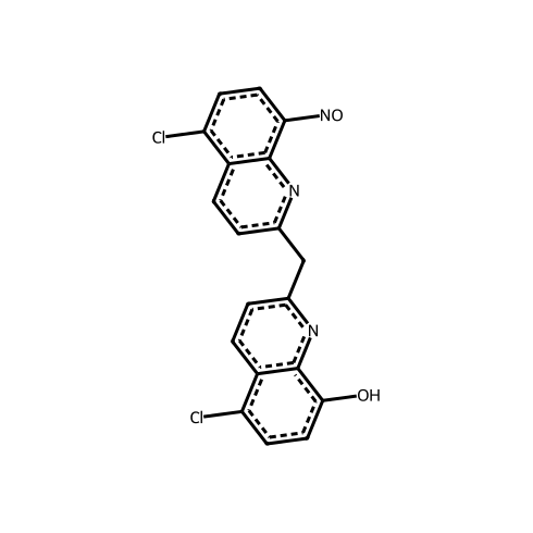 O=Nc1ccc(Cl)c2ccc(Cc3ccc4c(Cl)ccc(O)c4n3)nc12